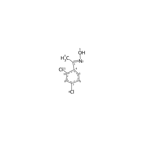 C/C(=N\O)c1ccc(Cl)cc1Cl